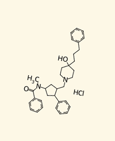 CN(C(=O)c1ccccc1)C1CC(CN2CCC(O)(CCCc3ccccc3)CC2)C(c2ccccc2)C1.Cl